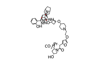 CC(C)[C@@H](C(=O)N1C[C@H](O)C[C@H]1C(=O)O)c1cc(OCCN2CCC(O[C@H]3C[C@H](Oc4cc(N5C6CCC5CN(c5cc(-c7ccccc7O)nnc5N)C6)ccn4)C3)CC2)co1